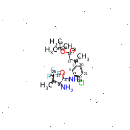 C[C@H]([C@@H](N)C(=O)Nc1cc([C@@H](C)CC(=O)OC(C)(C)C)ccc1Cl)C(F)(F)F